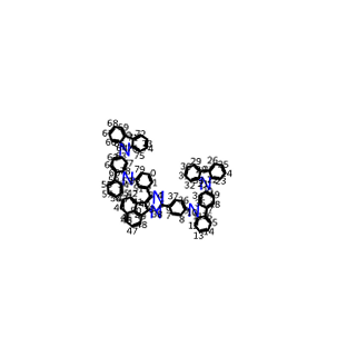 c1cc(-c2nc(-c3ccc(-n4c5ccccc5c5ccc(-n6c7ccccc7c7ccccc76)cc54)cc3)nc3c2-c2cccc4cccc-3c24)cc(-n2c3ccccc3c3ccc(-n4c5ccccc5c5ccccc54)cc32)c1